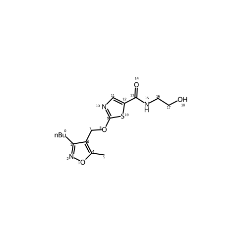 CCCCc1noc(C)c1COc1ncc(C(=O)NCCO)s1